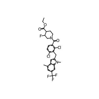 CCOC(=O)C1CCN(C(=O)c2ccc(Cl)c(Cc3cc4c(C)cc(C(F)(F)F)cc4n3C)c2Cl)CC1F